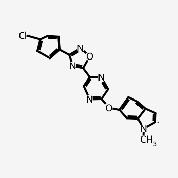 Cn1[c]cc2ccc(Oc3cnc(-c4nc(-c5ccc(Cl)cc5)no4)cn3)cc21